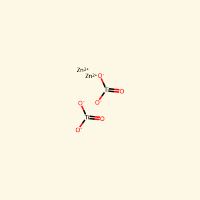 [O]=[Ti]([O-])[O-].[O]=[Ti]([O-])[O-].[Zn+2].[Zn+2]